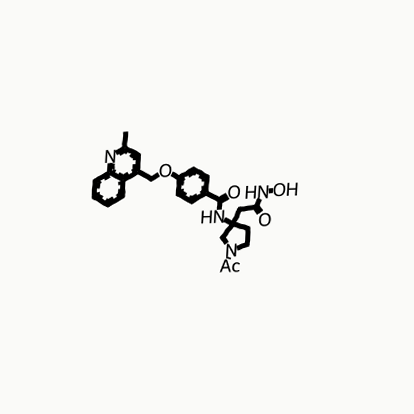 CC(=O)N1CCC(CC(=O)NO)(NC(=O)c2ccc(OCc3cc(C)nc4ccccc34)cc2)C1